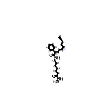 C#CCC/C=C\C/C=C(/C(=O)NCCCCCCC(=O)NO)c1ccccc1